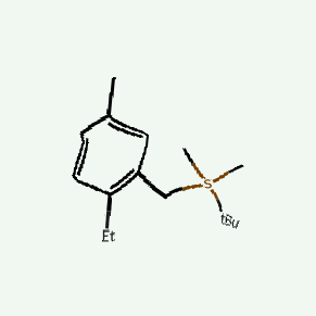 CCc1ccc(C)cc1CS(C)(C)C(C)(C)C